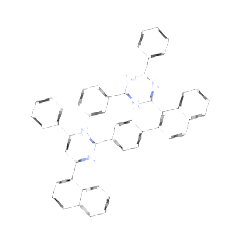 N/C(=N\C(=N/Cc1ccccc1)c1c(-c2ccc(-c3nc(-c4ccccc4)cc(-c4cccc5ccccc45)n3)cc2)ccc2ccccc12)c1ccccc1